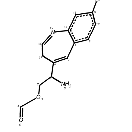 NC(COC=O)C1=Cc2ccc(Br)cc2N=CC1